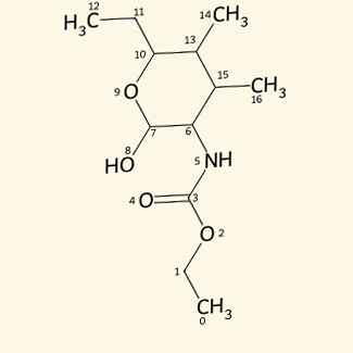 CCOC(=O)NC1C(O)OC(CC)C(C)C1C